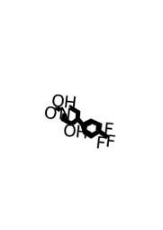 O=C(O)N1CCC(c2ccc(C(F)(F)F)cc2)C(O)C1